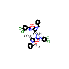 Cc1ccccc1N1C[C@H](C(=O)O)[C@H](NC(=O)Nc2ccc(Cl)c(Cl)c2)C1=O.O=C(N[C@@H]1C(=O)N(Cc2ccccc2)C[C@@H]1C(=O)O)c1ccc(Cl)c(Cl)c1